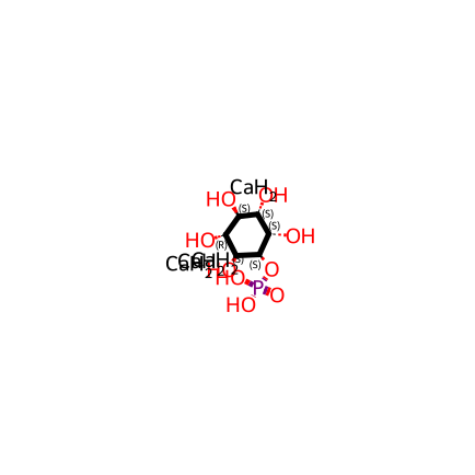 O=P(O)(O)O[C@@H]1[C@@H](O)[C@H](O)[C@@H](O)[C@H](O)[C@@H]1O.[CaH2].[CaH2].[CaH2].[CaH2]